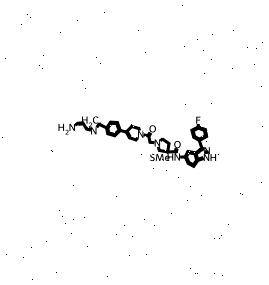 C=C(/N=C\C=C/N)c1ccc(C2=CCN(C(=O)CN3CC[C@@](SC)(C(=O)Nc4ccc5[nH]nc(-c6ccc(F)cc6)c5c4)C3)CC2)cc1